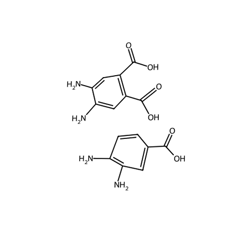 Nc1cc(C(=O)O)c(C(=O)O)cc1N.Nc1ccc(C(=O)O)cc1N